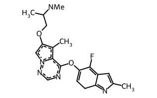 CNC(C)COc1cn2ncnc(OC3=CCC4=NC(C)=CC4=C3F)c2c1C